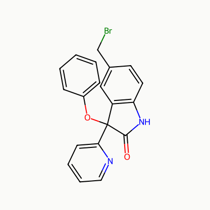 O=C1Nc2ccc(CBr)cc2C1(Oc1ccccc1)c1ccccn1